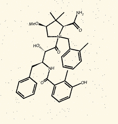 CO[C@@H]1C[N+](Cc2ccccc2C)(C(=O)[C@@H](O)[C@H](Cc2ccccc2)NC(=O)c2cccc(O)c2C)[C@H](C(N)=O)C1(C)C